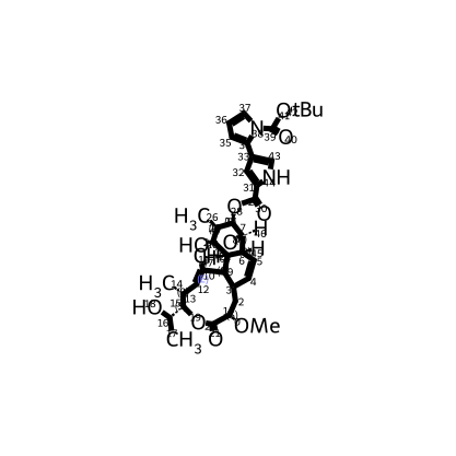 CO[C@H]1CC2C=C[C@H]3[C@H]4O[C@]2(/C(C)=C/[C@@H](C)[C@@H](C(C)O)OC1=O)[C@@H]3[C@H](O)[C@@H](C)[C@H]4OC(=O)c1cc(-c2cccn2C(=O)OC(C)(C)C)c[nH]1